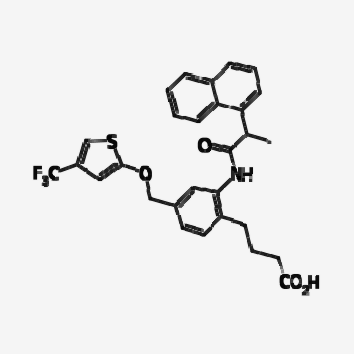 CC(C(=O)Nc1cc(COc2cc(C(F)(F)F)cs2)ccc1CCCC(=O)O)c1cccc2ccccc12